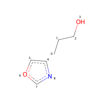 CCCO.c1cocn1